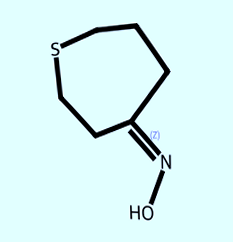 O/N=C1/CCCSCC1